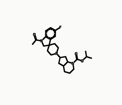 CC(=O)N1CC2(CCN(C3CC4CCCN(C(=O)OC(C)C)C4C3)CC2)c2cc(F)ccc21